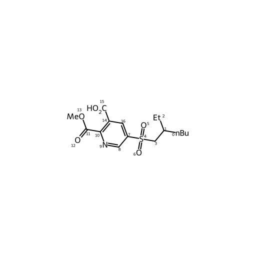 CCCCC(CC)CS(=O)(=O)c1cnc(C(=O)OC)c(C(=O)O)c1